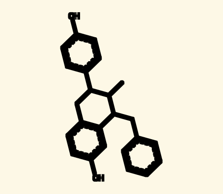 CC1C(c2ccc(O)cc2)Cc2ccc(O)cc2C1Cc1ccccc1